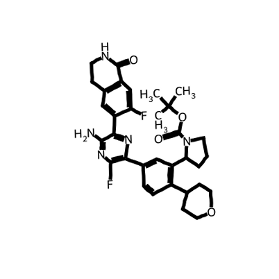 CC(C)(C)OC(=O)N1CCCC1c1cc(-c2nc(-c3cc4c(cc3F)C(=O)NCC4)c(N)nc2F)ccc1C1CCOCC1